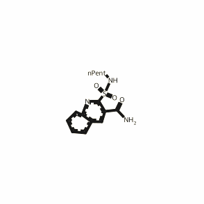 CCCCCNS(=O)(=O)c1nc2ccccc2cc1C(N)=O